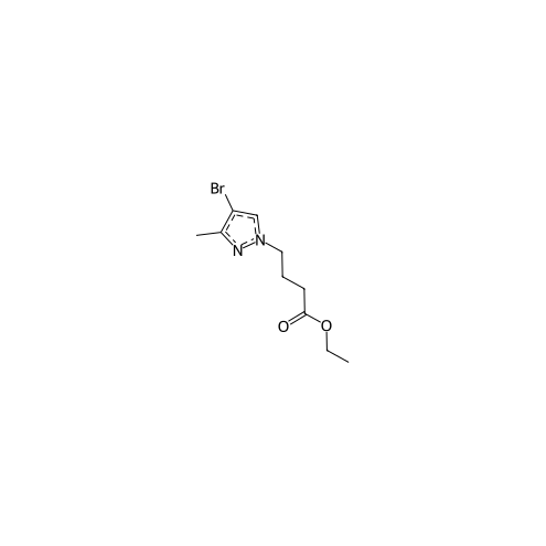 CCOC(=O)CCCn1cc(Br)c(C)n1